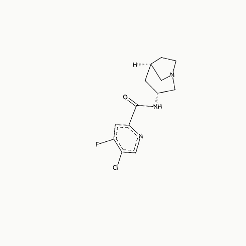 O=C(N[C@@H]1C[C@H]2CCN(C2)C1)c1cc(F)c(Cl)cn1